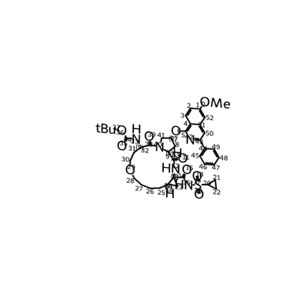 COc1ccc2c(O[C@@H]3C[C@H]4C(=O)N[C@]5(C(=O)NS(=O)(=O)C6CC6)C[C@H]5CCCCOCC[C@H](NC(=O)OC(C)(C)C)C(=O)N4C3)nc(-c3ccccc3)cc2c1